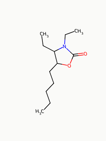 CCCCCC1OC(=O)N(CC)C1CC